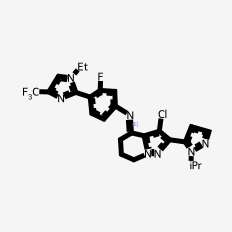 CCn1cc(C(F)(F)F)nc1-c1ccc(/N=C2\CCCn3nc(-c4ccnn4C(C)C)c(Cl)c32)cc1F